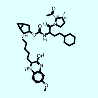 COc1ccc2c(c1)N=C(O)C(CCCCC[C@H]1C(OC(=O)NC(CCC3CCCCC3)C(=O)N3CC[C@@H](C)[C@H]3C(C)=O)CC3CC31)N2